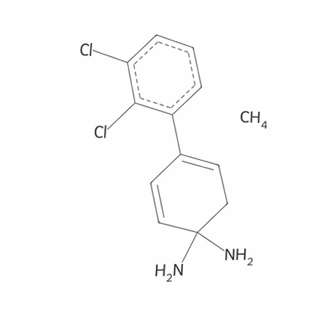 C.NC1(N)C=CC(c2cccc(Cl)c2Cl)=CC1